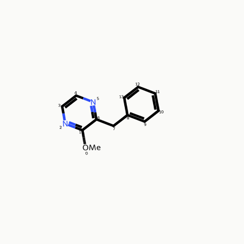 COc1nccnc1Cc1ccccc1